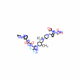 CC1CC(N/C=C(/NC(=O)c2coc(-c3ccnc(NCC4CC4)c3)n2)C(=N)C(F)F)CCC1CN(C)C1CCN(Cc2cccc3c(N4CCC(=O)NC4=O)nn(C4COC4)c23)CC1